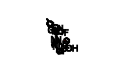 Cc1ccc(S(=O)(=O)n2cc(-c3nc(NC4C5CCC(CC5)C4C(=O)O)c4c(ccn4-c4ccccc4)n3)c3cc(F)cnc32)cc1